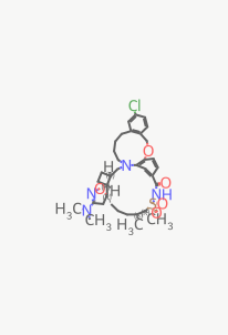 C[C@@H]1[C@@H](C)CCC[C@@]2(CC(N(C)C)=NO2)[C@@H]2CC[C@H]2CN2CCCCc3cc(Cl)ccc3COc3ccc(cc32)C(=O)NS1(=O)=O